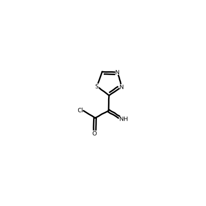 N=C(C(=O)Cl)c1nncs1